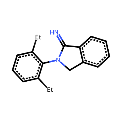 CCc1cccc(CC)c1N1Cc2ccccc2C1=N